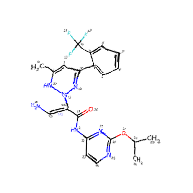 CC1=CC(c2ccccc2C(F)(F)F)=NN(/C(=C\N)C(=O)Nc2ccnc(OC(C)C)n2)N1